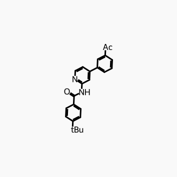 CC(=O)c1cccc(-c2ccnc(NC(=O)c3ccc(C(C)(C)C)cc3)c2)c1